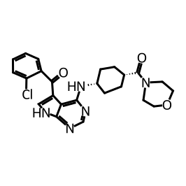 O=C(c1ccccc1Cl)c1c[nH]c2ncnc(N[C@H]3CC[C@@H](C(=O)N4CCOCC4)CC3)c12